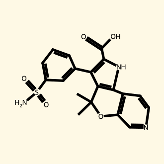 CC1(C)Oc2cnccc2-c2[nH]c(C(=O)O)c(-c3cccc(S(N)(=O)=O)c3)c21